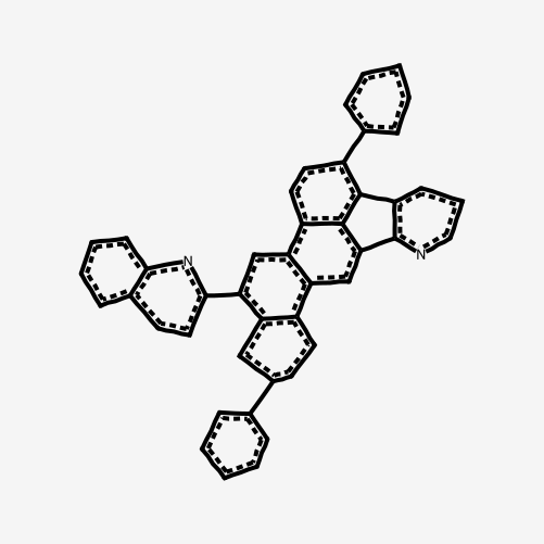 c1ccc(-c2ccc3c(c2)c(-c2ccc4ccccc4n2)cc2c4ccc(-c5ccccc5)c5c4c(cc32)-c2ncccc2-5)cc1